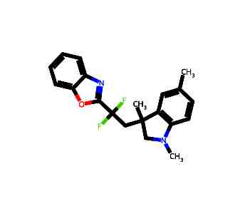 Cc1ccc2c(c1)C(C)(CC(F)(F)c1nc3ccccc3o1)CN2C